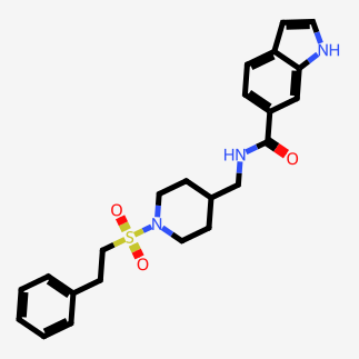 O=C(NCC1CCN(S(=O)(=O)CCc2ccccc2)CC1)c1ccc2cc[nH]c2c1